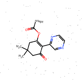 CCCCCCCC(=O)OC1=C(c2cnccn2)C(=O)CC(C)(C)C1